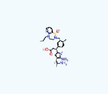 CCCN1CCN(Cc2cc(C(CC(=O)O)c3cc(/C=C(/C)N)c(N)n3C)ccc2C)[S+]([O-])c2cccnc21